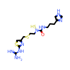 N=C(N)Nc1nc(CSCCN(S)C(=O)NCCCc2c[nH]cn2)cs1